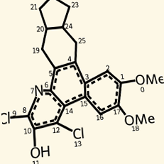 COc1cc2c3c(c4nc(Cl)c(O)c(Cl)c4c2cc1OC)CC1CCCC1C3